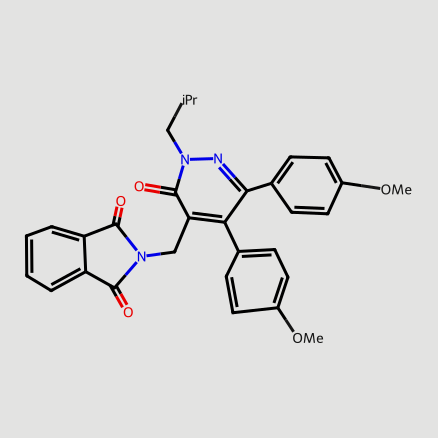 COc1ccc(-c2nn(CC(C)C)c(=O)c(CN3C(=O)c4ccccc4C3=O)c2-c2ccc(OC)cc2)cc1